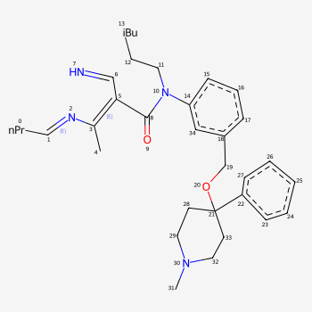 CCC/C=N/C(C)=C(\C=N)C(=O)N(CCC(C)CC)c1cccc(COC2(c3ccccc3)CCN(C)CC2)c1